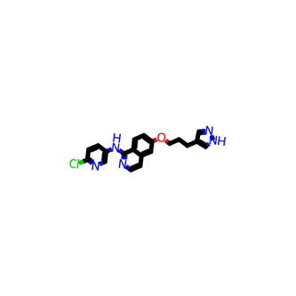 Clc1ccc(Nc2nccc3cc(OCCCc4cn[nH]c4)ccc23)cn1